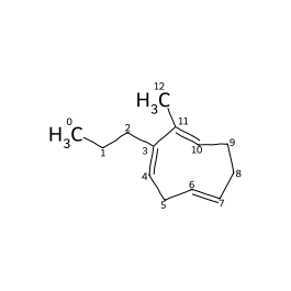 CCCC1=C/C/C=C/CC\C=C\1C